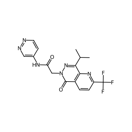 CC(C)c1nn(CC(=O)Nc2ccnnc2)c(=O)c2ccc(C(F)(F)F)nc12